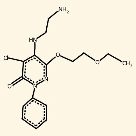 CCOCCOc1nn(-c2ccccc2)c(=O)c(Cl)c1NCCN